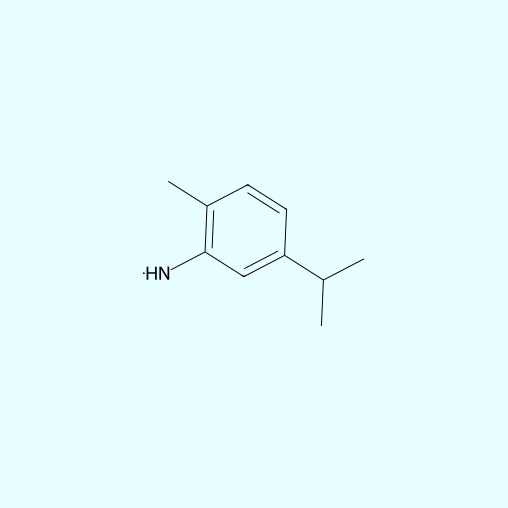 Cc1ccc(C(C)C)cc1[NH]